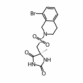 C[C@]1(CS(=O)(=O)N2CCc3cccc(Br)c3C2)NC(=O)NC1=O